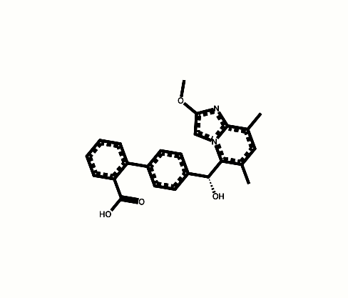 COc1cn2c([C@H](O)c3ccc(-c4ccccc4C(=O)O)cc3)c(C)cc(C)c2n1